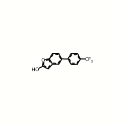 Oc1cc2cc(-c3ccc(C(F)(F)F)cc3)ccc2o1